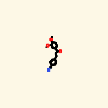 COc1ccc(C(=O)/C=C/c2ccc(C#N)cc2)cc1OC